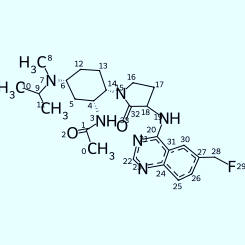 CC(=O)N[C@@H]1C[C@H](N(C)C(C)C)CC[C@@H]1N1CCC(Nc2ncnc3ccc(CF)cc23)C1=O